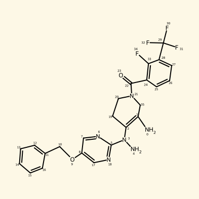 NC1=C(N(N)c2ncc(OCc3ccccc3)cn2)CCN(C(=O)c2cccc(C(F)(F)F)c2F)C1